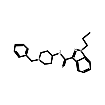 CCCn1nc(C(=O)NC2CCN(Cc3ccccc3)CC2)c2ccccc21